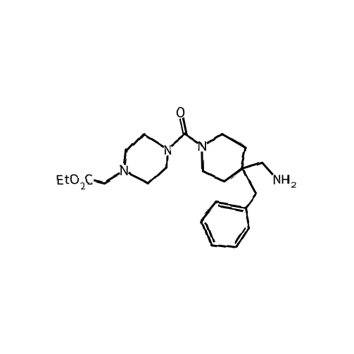 CCOC(=O)CN1CCN(C(=O)N2CCC(CN)(Cc3ccccc3)CC2)CC1